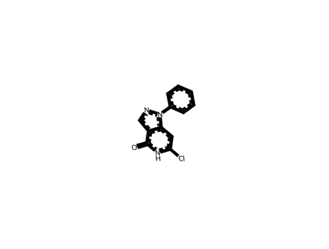 O=c1[nH]c(Cl)cc2c1cnn2-c1ccccc1